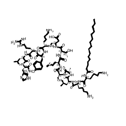 CCCCCCCCCCCCCCCC(=O)N[C@@H](CCCCN)C(=O)N[C@@H](CCCCN)C(=O)N[C@@H](CC(C)C)C(=O)N[C@@H](C)C(=O)N[C@@H](CO)C(=O)N[C@@H](CCSC)C(=O)N[C@H](C(=O)N[C@H](CN[C@@H](CCCCN)C(=O)N[C@@H](Cc1ccc(O)cc1)C(=O)N[C@@H](CCCNC(=N)N)C(=O)N[C@@H](CC(C)C)C(=O)N[C@@H](Cc1c[nH]cn1)C(N)=O)CC(=O)O)[C@@H](C)O